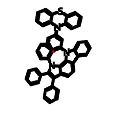 c1ccc(-c2c(-c3ccccc3)n(-c3ccccc3)c3c2ccc2c4ccccc4n(-c4cccc(N5c6ccccc6Sc6ccccc65)c4)c23)cc1